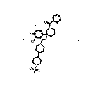 CS(=O)(=O)N1CCC(C2CCN(CC[C@]3(c4ccc(Cl)c(Cl)c4)CCCN(C(=O)c4ccccc4)C3)CC2)CC1